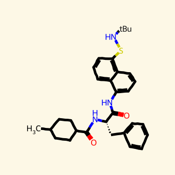 CC1CCC(C(=O)N[C@@H](Cc2ccccc2)C(=O)Nc2cccc3c(SNC(C)(C)C)cccc23)CC1